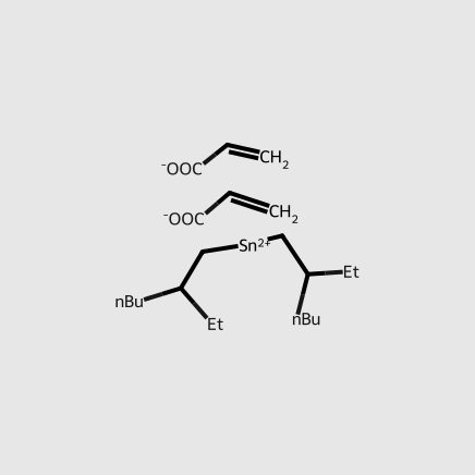 C=CC(=O)[O-].C=CC(=O)[O-].CCCCC(CC)[CH2][Sn+2][CH2]C(CC)CCCC